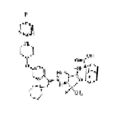 CC(F)(F)c1nc(N2CC3(CCCCC3)c3cc(OC4CCN(c5ncc(F)cn5)CC4)ccc32)ncc1C(=O)NC1(C(=O)O)C2CC3CC(C2)CC1C3